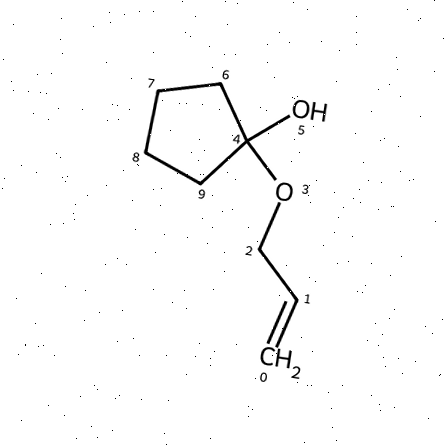 C=CCOC1(O)CCCC1